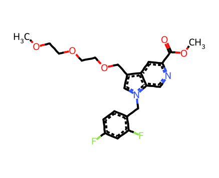 COCCOCCOCc1cn(Cc2ccc(F)cc2F)c2cnc(C(=O)OC)cc12